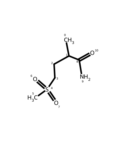 C[C](CCS(C)(=O)=O)C(N)=O